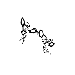 CCOC(=O)[C@@H](NC(=O)CC1CCN(c2ccc(NC(=O)c3ccccc3-c3ccc(C(F)(F)F)cc3)cc2)CC1)c1ccccc1